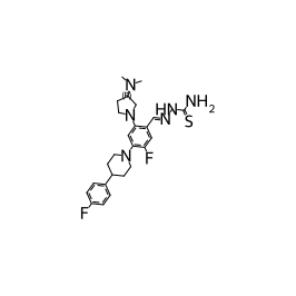 CN(C)[C@@H]1CCN(c2cc(N3CCC(c4ccc(F)cc4)CC3)c(F)cc2C=NNC(N)=S)C1